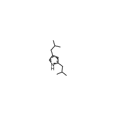 CC(C)Cc1c[nH]c(CC(C)C)c1